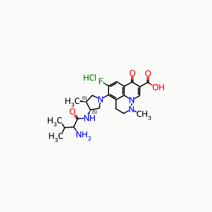 CC(C)C(N)C(=O)N[C@@H]1CN(c2c(F)cc3c(=O)c(C(=O)O)cn4c3c2CCN4C)C[C@@H]1C.Cl